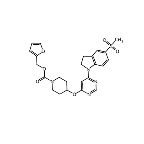 CS(=O)(=O)c1ccc2c(c1)CCN2c1cc(OC2CCN(C(=O)OCc3ccco3)CC2)ncn1